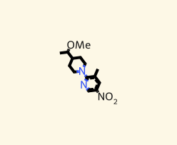 COC(C)C1CCN(c2ncc([N+](=O)[O-])cc2C)CC1